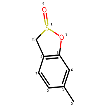 Cc1ccc2c(c1)OS(=O)C2